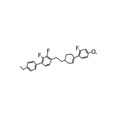 CCc1ccc(-c2ccc(CCC3CC=C(c4ccc(OC)cc4F)CC3)c(F)c2F)cc1